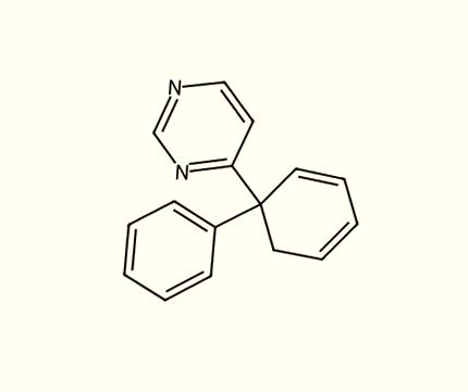 C1=CCC(c2ccccc2)(c2ccncn2)C=C1